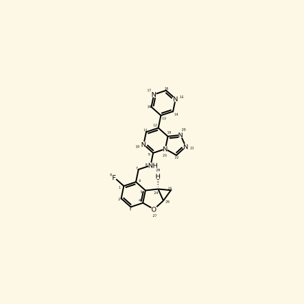 Fc1ccc2c(c1CNc1ncc(-c3cncnc3)c3nncn13)[C@H]1CC1O2